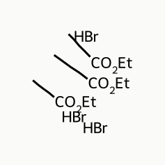 Br.Br.Br.CCOC(C)=O.CCOC(C)=O.CCOC(C)=O